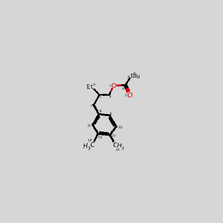 CCC(COC(=O)C(C)(C)C)Cc1ccc(C)c(C)c1